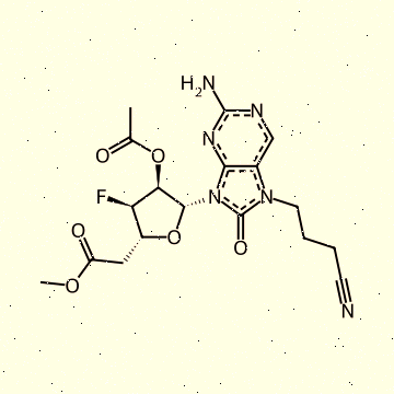 COC(=O)C[C@H]1O[C@@H](n2c(=O)n(CCCC#N)c3cnc(N)nc32)[C@H](OC(C)=O)[C@@H]1F